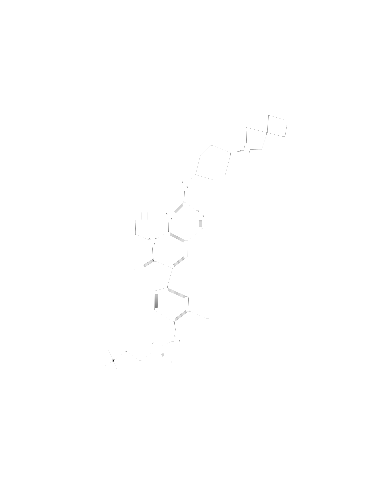 CC(C)n1c(=O)c(-c2ccc(NS(=O)(=O)CCC(F)(F)F)c(F)c2)cc2cnc(N[C@H]3CC[C@H](N4CC5(COC5)C4)CC3)nc21